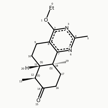 CCOc1nc(C)nc2c1CC[C@H]1[C@H](C)C(=O)CC[C@]21C